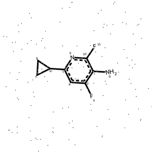 Nc1c(F)cc(C2CC2)nc1F